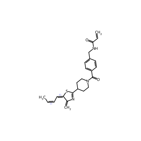 C=CC(=O)NCc1ccc(C(=O)N2CCC(c3nc(=C)/c(=C\C=C/C)s3)CC2)cc1